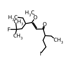 CCC(CCI)C(=O)/C=C(\OC)C(CC)CC(C)(C)F